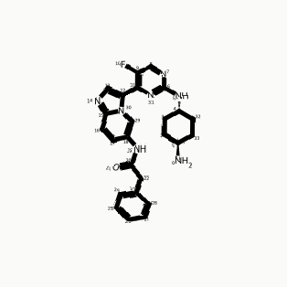 N[C@H]1CC[C@H](Nc2ncc(F)c(-c3cnc4ccc(NC(=O)Cc5ccccc5)cn34)n2)CC1